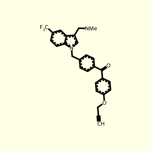 C#CCOc1ccc(C(=O)c2ccc(Cn3cc(CNC)c4cc(C(F)(F)F)ccc43)cc2)cc1